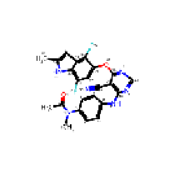 CC(=O)N(C)c1ccc(Nc2ncnc(Oc3cc(F)c4[nH]c(C)cc4c3F)c2C#N)cc1